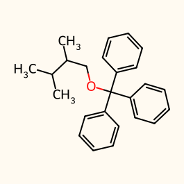 CC(C)C(C)COC(c1ccccc1)(c1ccccc1)c1ccccc1